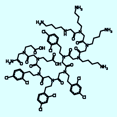 NCCCCNCC(=O)N(CCCCN)CC(=O)N(CCCCN)CC(=O)N(CCCCN)CC(=O)N(CCc1ccc(Cl)cc1Cl)CC(=O)N(CCc1ccc(Cl)cc1Cl)CC(=O)N(CCc1ccc(Cl)cc1Cl)CC(=O)N(CCc1ccc(Cl)cc1Cl)CC(=O)N(CCC(=O)O)CC(=O)N(CCC(=O)O)CC(N)=O